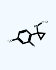 O=CNC1(c2ccc(C(F)(F)F)cc2F)CC1